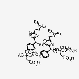 CCC(c1ccccc1)c1noc(CCN(CC)CC)n1.CCC(c1ccccc1)c1noc(CCN(CC)CC)n1.O=C(O)CC(O)(CC(=O)O)C(=O)O.O=C(O)CC(O)(CC(=O)O)C(=O)O